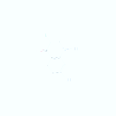 Cc1ccc(C(=O)CCl)c(N(C)C=O)c1